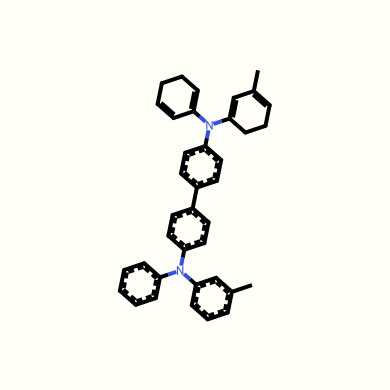 CC1=CCCC(N(C2=CCCC=C2)c2ccc(-c3ccc(N(c4ccccc4)c4cccc(C)c4)cc3)cc2)=C1